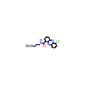 CNCCCNC(=O)c1cccc2nc3c(Cl)cccc3nc12